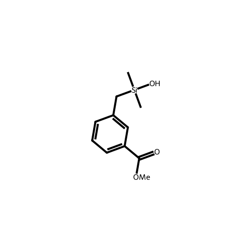 COC(=O)c1cccc(C[Si](C)(C)O)c1